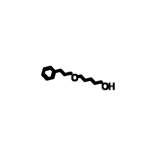 OCCCCCOCCCc1ccccc1